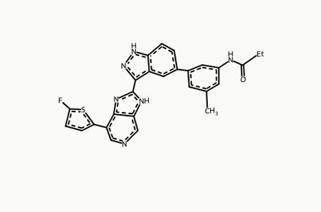 CCC(=O)Nc1cc(C)cc(-c2ccc3[nH]nc(-c4nc5c(-c6ccc(F)s6)cncc5[nH]4)c3c2)c1